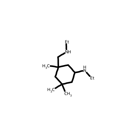 CCNCC1(C)CC(NCC)CC(C)(C)C1